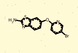 Nc1nc2ccc(Oc3ccc(Br)cn3)cc2s1